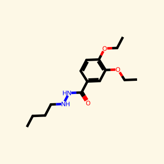 CCCCNNC(=O)c1ccc(OCC)c(OCC)c1